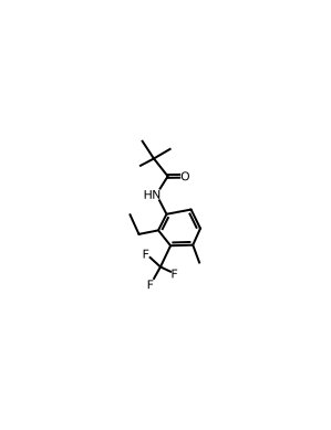 CCc1c(NC(=O)C(C)(C)C)ccc(C)c1C(F)(F)F